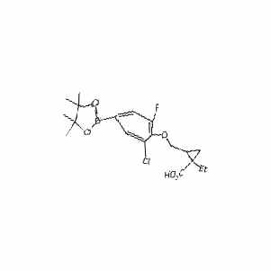 CCC1(C(=O)O)CC1COc1c(F)cc(B2OC(C)(C)C(C)(C)O2)cc1Cl